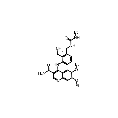 CCNC(=O)NCc1cccc(Nc2c(C(N)=O)cnc3cc(OCC)c(OCC)cc23)c1CN